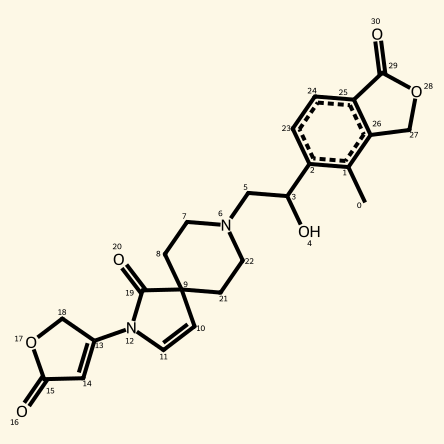 Cc1c(C(O)CN2CCC3(C=CN(C4=CC(=O)OC4)C3=O)CC2)ccc2c1COC2=O